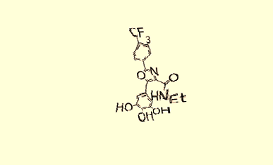 CCNC(=O)c1nc(-c2ccc(C(F)(F)F)cc2)oc1-c1cc(O)c(O)c(O)c1